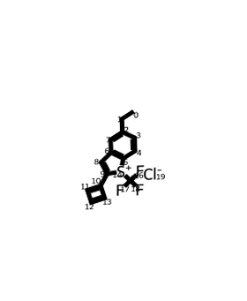 CCc1ccc2c(c1)cc(C1=CC=C1)[s+]2C(F)(F)F.[Cl-]